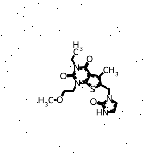 CCn1c(=O)c2c(C)c(Cn3cc[nH]c3=O)sc2n(CCOC)c1=O